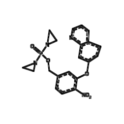 O=[N+]([O-])c1ccc(COP(=O)(N2CC2)N2CC2)cc1Oc1ccc2cccnc2c1